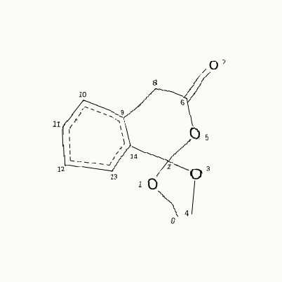 COC1(OC)OC(=O)Cc2ccccc21